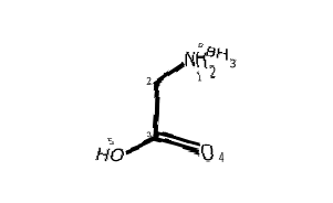 B.NCC(=O)O